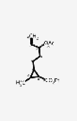 C=CC(CCC1C(C)C1C(=O)OCC)OC(C)=O